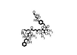 CCCCN(C(=O)CCC(=O)CNC(=O)C(C(C)C)N(C)C(=O)OCc1ccc(NC(=O)CNC=O)cc1)C(OC)C(C)C(=O)NC(Cc1ccccc1)C(=O)O